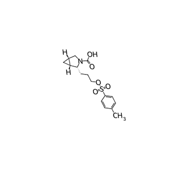 Cc1ccc(S(=O)(=O)OCCC[C@@H]2[C@@H]3C[C@@H]3CN2C(=O)O)cc1